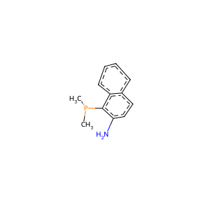 CP(C)c1c(N)ccc2ccccc12